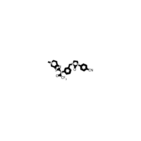 CN1CCc2nc(N(C(=O)C(F)(F)F)c3cccc(CN4CCN(c5ccc(C#N)cc5)C4=O)c3)sc2C1